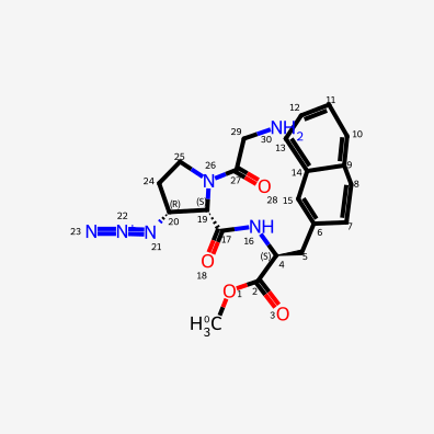 COC(=O)[C@H](Cc1ccc2ccccc2c1)NC(=O)[C@@H]1[C@H](N=[N+]=[N-])CCN1C(=O)CN